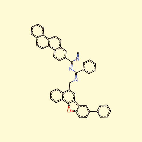 C=N/C(=N\C(=N/Cc1cc2c3cc(-c4ccccc4)ccc3oc2c2ccccc12)c1ccccc1)c1ccc2c(ccc3c4ccccc4ccc23)c1